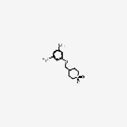 Cc1cc(C)cc(OCC2CCS(=O)(=O)CC2)c1